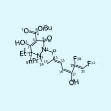 CCCC1(CC)C(O)=C(C(=O)OCC(C)C)C(=O)N(C/C(C)=C/C=C(O)\C(F)=C\F)N1C